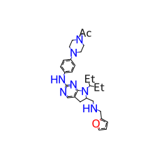 CCC(CC)N1c2nc(Nc3ccc(N4CCN(C(C)=O)CC4)cc3)ncc2CC1CNCc1ccco1